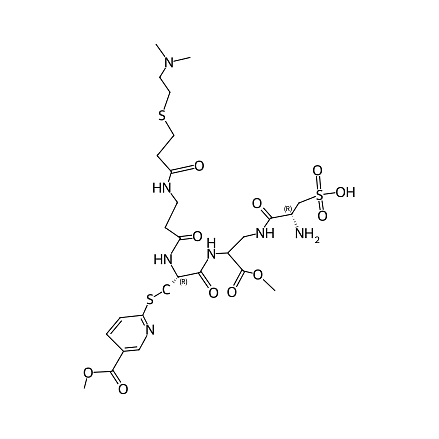 COC(=O)c1ccc(SC[C@H](NC(=O)CCNC(=O)CCSCCN(C)C)C(=O)NC(CNC(=O)[C@@H](N)CS(=O)(=O)O)C(=O)OC)nc1